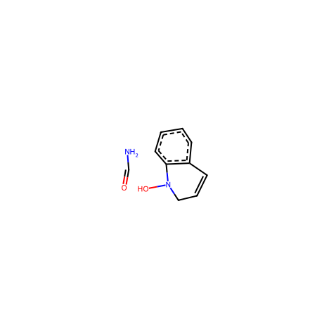 NC=O.ON1CC=Cc2ccccc21